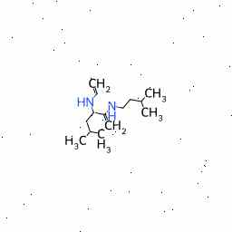 C=CNC(CC(C)C)C(=C)NCCC(C)C